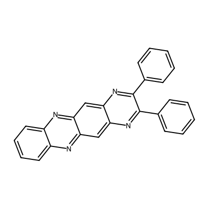 c1ccc(-c2nc3cc4nc5ccccc5nc4cc3nc2-c2ccccc2)cc1